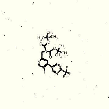 CC(C)(C)OC(=O)N(Cc1cc(-c2cnc(C(F)(F)F)nc2)c(F)cn1)C(=O)OC(C)(C)C